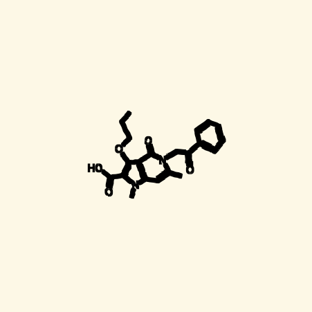 CCCOc1c(C(=O)O)n(C)c2cc(C)n(CC(=O)c3ccccc3)c(=O)c12